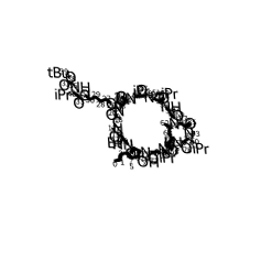 C/C=C/C[C@@H](C)[C@@H](O)[C@@H]1C(=O)N[C@@H](CC)C(=O)N(C)CC(=O)N(C)[C@@H]([C@@H](C)OCCCCOC(=O)[C@@H](NC(=O)OC(C)(C)C)C(C)C)C(=O)N[C@@H](C(C)C)C(=O)N(C)[C@@H](CC(C)C)C(=O)N[C@@H](C)C(=O)N2C(C)C[C@@H](C(=O)N(C)[C@@H](C(C)C)C(=O)N1C)N(C)C(=O)[C@H](CC(C)C)N(C)C(=O)[C@H]2C